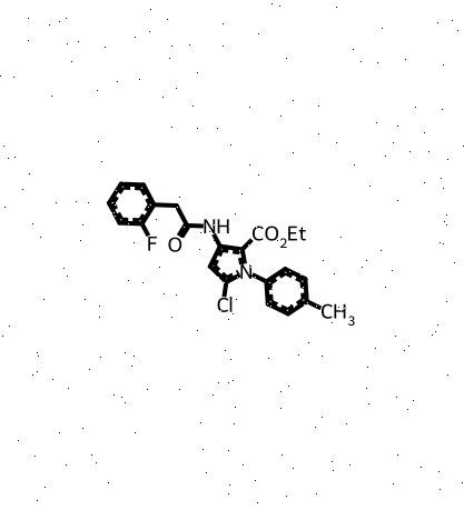 CCOC(=O)c1c(NC(=O)Cc2ccccc2F)cc(Cl)n1-c1ccc(C)cc1